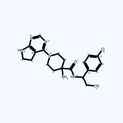 N#CCC(NC(=O)C1(N)CCN(c2ncnc3c2CCN3)CC1)c1ccc(Cl)cc1